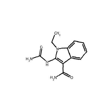 CCn1c(NC(N)=O)c(C(N)=O)c2ccccc21